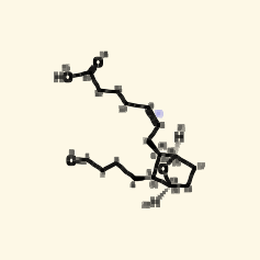 O=CCCC[C@H]1[C@@H](C/C=C\CCCC(=O)O)[C@H]2CC[C@@H]1O2